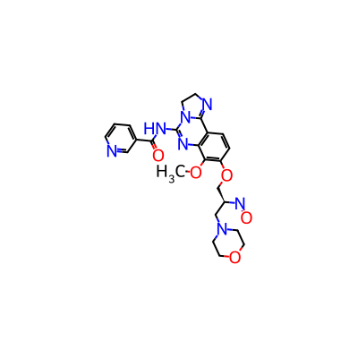 COc1c(OC[C@H](CN2CCOCC2)N=O)ccc2c1N=C(NC(=O)c1cccnc1)N1CCN=C21